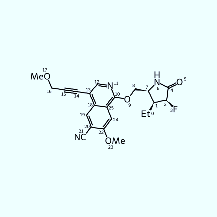 CC[C@@H]1[C@H](F)C(=O)N[C@@H]1COc1ncc(C#CCOC)c2cc(C#N)c(OC)cc12